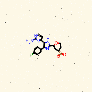 Nc1nccc(-c2[nH]c(C3CC(=S(=O)=O)CCO3)nc2-c2ccc(F)cc2)n1